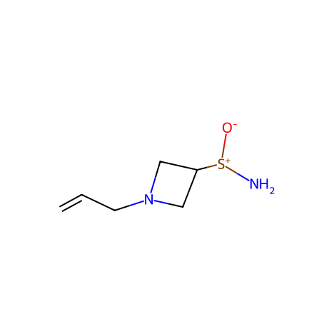 C=CCN1CC([S+](N)[O-])C1